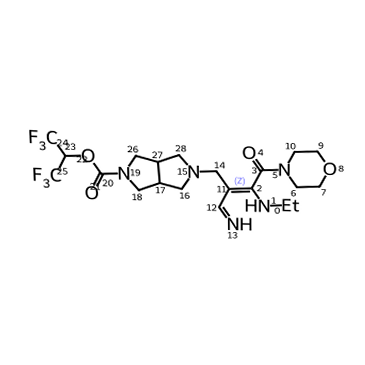 CCN/C(C(=O)N1CCOCC1)=C(\C=N)CN1CC2CN(C(=O)OC(C(F)(F)F)C(F)(F)F)CC2C1